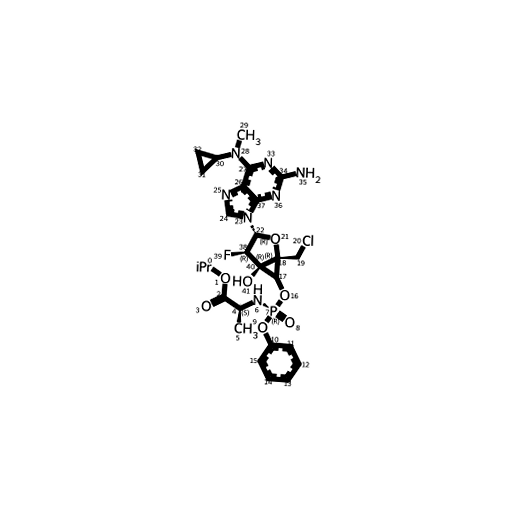 CC(C)OC(=O)[C@H](C)N[P@](=O)(Oc1ccccc1)OC1[C@@]2(CCl)O[C@@H](n3cnc4c(N(C)C5CC5)nc(N)nc43)[C@H](F)[C@@]12O